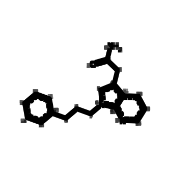 NC(=O)Cc1cn(CCCc2ccccc2)c2ncccc12